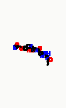 CCCC(=O)N1CC(Nc2cc(C(=O)NC[C@H](O)CN3CCc4cc(OCc5cnco5)ccc4C3)ccn2)C1